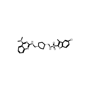 Cc1c(S(=O)(=O)NC[C@H]2CC[C@H](CNc3nc(N(C)C)c4ccccc4n3)CC2)sc2ccc(Cl)cc12